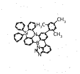 Cc1cc(C)c(-c2cc3c4c(c2)N2c5ccccc5[Si](c5ccccc5)(c5ccccc5)c5cccc(c52)B4n2nnc4cccc-3c42)c(C)c1